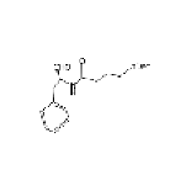 CCCCCCCCCCCCCC(=O)N[C@H](C=O)Cc1ccccc1